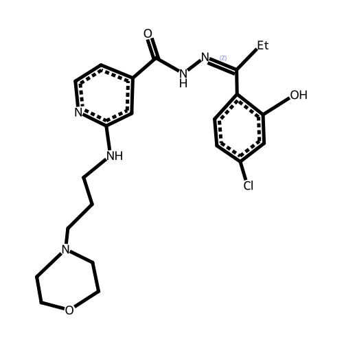 CC/C(=N/NC(=O)c1ccnc(NCCCN2CCOCC2)c1)c1ccc(Cl)cc1O